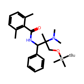 Cc1cccc(C)c1C(=O)NC(c1ccccc1)C(C)(CO[Si](C)(C)C(C)(C)C)N(C)C